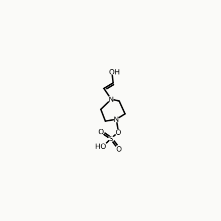 O=S(=O)(O)ON1CCN(C=CO)CC1